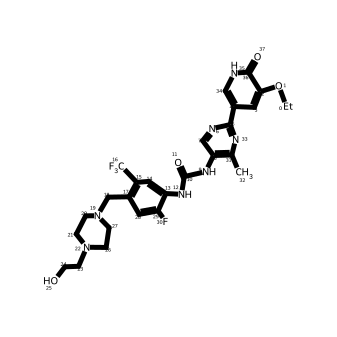 CCOc1cc(-c2ncc(NC(=O)Nc3cc(C(F)(F)F)c(CN4CCN(CCO)CC4)cc3F)c(C)n2)c[nH]c1=O